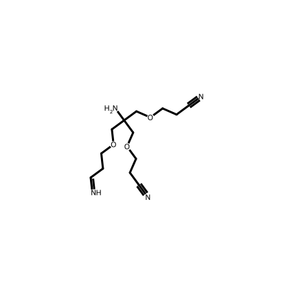 N#CCCOCC(N)(COCCC#N)COCCC=N